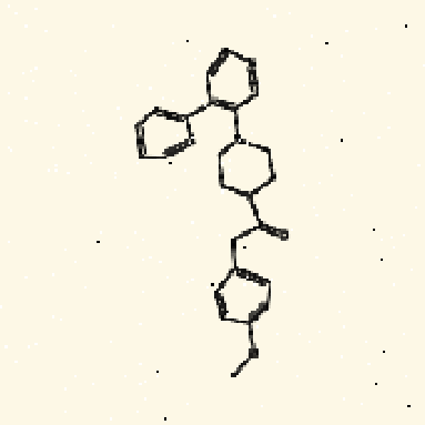 COc1ccc(CC(=O)N2CCN(c3cnccc3-c3ccccc3)CC2)cc1